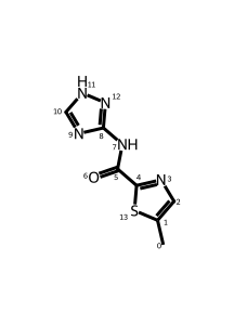 Cc1cnc(C(=O)Nc2nc[nH]n2)s1